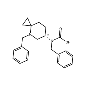 O=C(O)N(Cc1ccccc1)[C@H]1CCC2(CC2)N(Cc2ccccc2)C1